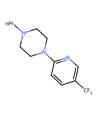 [CH2]CCN1CCN(c2ccc(C(F)(F)F)cn2)CC1